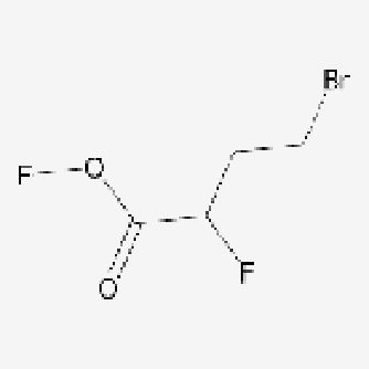 O=C(OF)C(F)CCBr